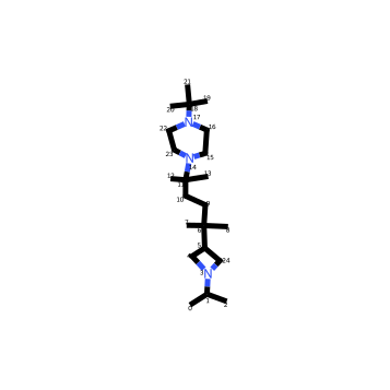 CC(C)N1CC(C(C)(C)CCC(C)(C)N2CCN(C(C)(C)C)CC2)C1